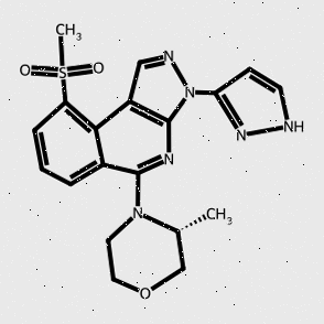 C[C@@H]1COCCN1c1nc2c(cnn2-c2cc[nH]n2)c2c(S(C)(=O)=O)cccc12